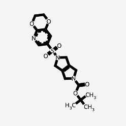 CC(C)(C)OC(=O)N1CC2=C(C1)CN(S(=O)(=O)c1cnc3c(c1)OCCO3)C2